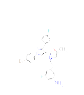 C[C@@H]1CN(CCc2cc(N)cc(F)c2)[C@@H](c2cn(-c3ccc(Br)cc3)nc2-c2ccc(F)cc2)O1